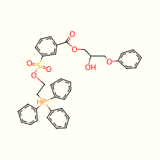 O=C(OCC(O)COc1ccccc1)c1cccc(S(=O)(=O)OCC[PH](c2ccccc2)(c2ccccc2)c2ccccc2)c1